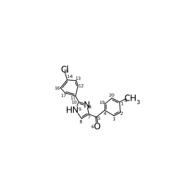 Cc1ccc(C(=O)c2c[nH]c(-c3ccc(Cl)cc3)n2)cc1